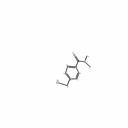 CN(C)C(=O)c1ccc(CCl)cc1